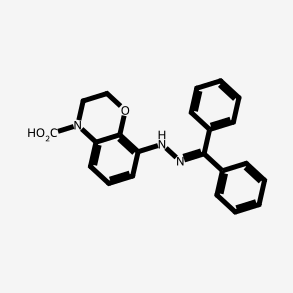 O=C(O)N1CCOc2c(NN=C(c3ccccc3)c3ccccc3)cccc21